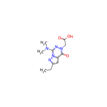 CCc1cc2c(=O)n(CC(=O)O)nc(N(C)C)n2n1